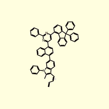 C=C/C=C\c1c(C)n(-c2ccccc2)c2cc(-c3ccc(-c4cc(-c5cccc6c5-c5ccccc5C6(c5ccccc5)c5ccccc5)nc(-c5ccccc5)n4)c4ccccc34)ccc12